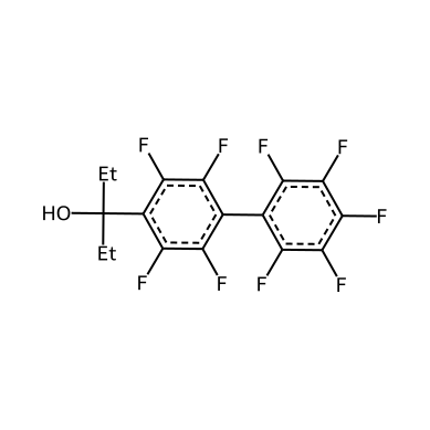 CCC(O)(CC)c1c(F)c(F)c(-c2c(F)c(F)c(F)c(F)c2F)c(F)c1F